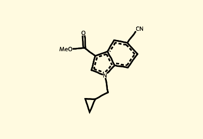 COC(=O)c1cn(CC2CC2)c2ccc(C#N)cc12